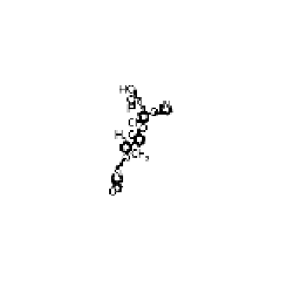 Cc1c(COc2cc(OCc3cccnc3)c(CNC[C@H](O)CO)cc2Cl)cccc1-c1cccc(OCCCN2CCC3(CCOC3)CC2)c1C